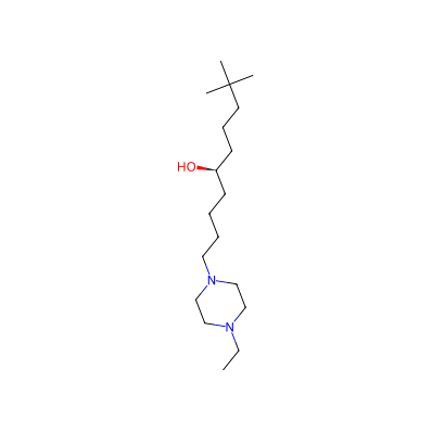 CCN1CCN(CCCC[C@@H](O)CCCC(C)(C)C)CC1